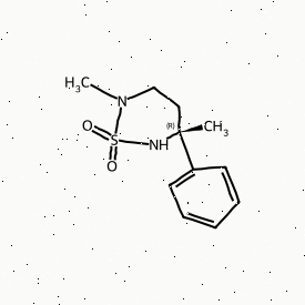 CN1CC[C@](C)(c2ccccc2)NS1(=O)=O